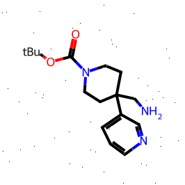 CC(C)(C)OC(=O)N1CCC(CN)(c2cccnc2)CC1